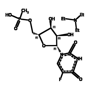 CCN(CC)CC.CP(=O)(O)OC[C@H]1O[C@@H](n2cc(F)c(=O)[nH]c2=O)[C@H](O)[C@@H]1O